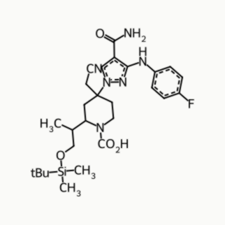 CC(CO[Si](C)(C)C(C)(C)C)C1CC(CC#N)(n2cc(C(N)=O)c(Nc3ccc(F)cc3)n2)CCN1C(=O)O